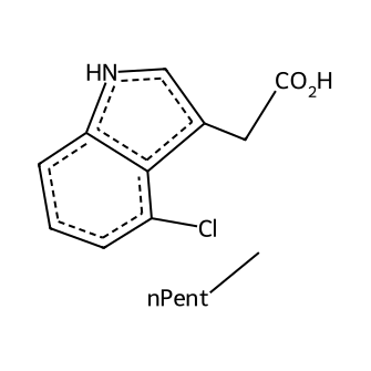 CCCCCC.O=C(O)Cc1c[nH]c2cccc(Cl)c12